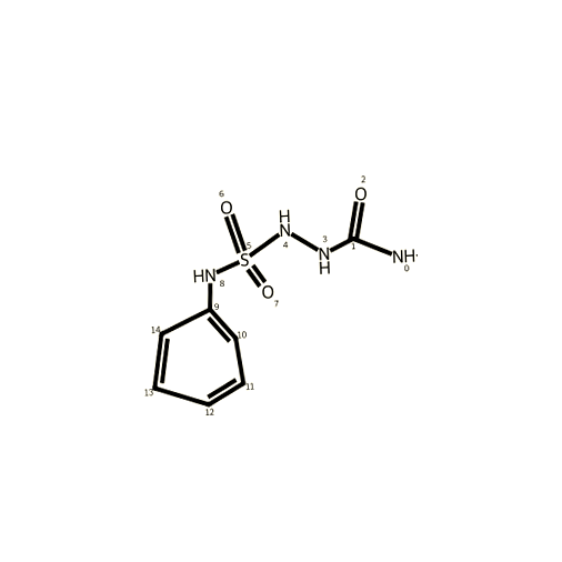 [NH]C(=O)NNS(=O)(=O)Nc1ccccc1